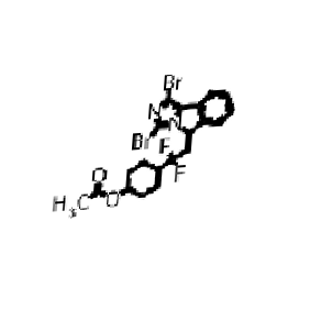 CC(=O)OC1CCC(C(F)(F)CC2c3ccccc3-c3c(Br)nc(Br)n32)CC1